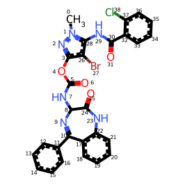 Cn1nc(OC(=O)NC2N=C(c3ccccc3)c3ccccc3NC2=O)c(Br)c1NC(=O)c1ccccc1Cl